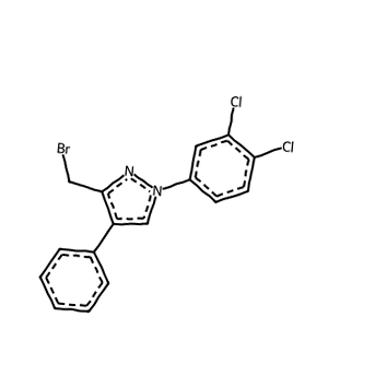 Clc1ccc(-n2cc(-c3ccccc3)c(CBr)n2)cc1Cl